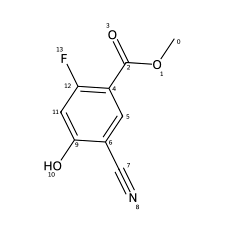 COC(=O)c1cc(C#N)c(O)cc1F